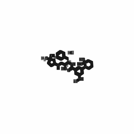 CCNc1cc(C(=O)N[C@@H](Cc2ccccc2)[C@@H](O)CNC2CCC(C)(C)C2)cc(N2CCCCS2(O)O)c1.Cl